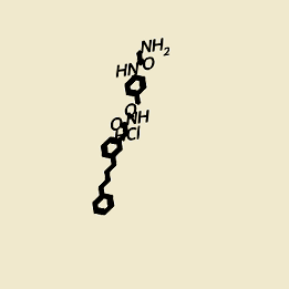 Cl.NCC(=O)Nc1ccc(CONC(=O)Cc2cccc(CCCCc3ccccc3)c2)cc1